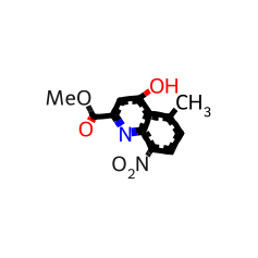 COC(=O)c1cc(O)c2c(C)ccc([N+](=O)[O-])c2n1